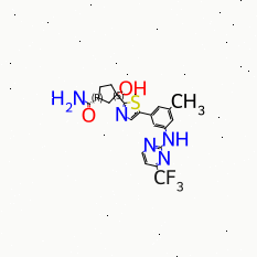 Cc1cc(Nc2nccc(C(F)(F)F)n2)cc(-c2cnc([C@]3(O)CC[C@@H](C(N)=O)C3)s2)c1